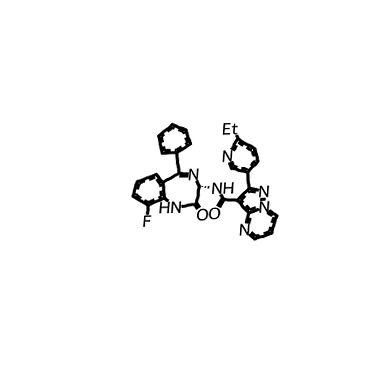 CCc1ccc(-c2nn3cccnc3c2C(=O)N[C@H]2N=C(c3ccccc3)c3cccc(F)c3NC2=O)cn1